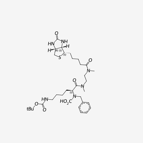 CN(CCN(C)C(=O)[C@H](CCCCNC(=O)OC(C)(C)C)N(Cc1ccccc1)C(=O)O)C(=O)CCCC[C@@H]1SC[C@@H]2NC(=O)N[C@@H]21